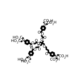 O=C(O)CN(CC(=O)O)c1ccc(C(=O)CCCOCC(COC(=O)COC(=O)c2ccc(N(CC(=O)O)CC(=O)O)cc2)(COC(=O)COC(=O)c2ccc(N(CC(=O)O)CC(=O)O)cc2)COC(=O)COC(=O)c2ccc(N(CC(=O)O)CC(=O)O)cc2)cc1